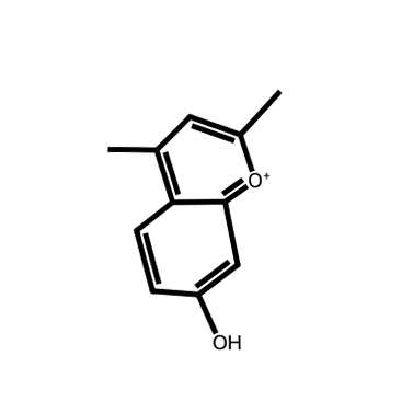 Cc1cc(C)c2ccc(O)cc2[o+]1